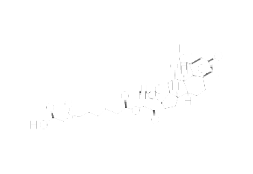 CC1=CC(=O)C=C2CC[C@@H]3[C@H](C(O)C[C@@]4(C)[C@H]3CC[C@]4(O)C(=O)COC(=O)CCCCC[S+]([O-])CC(=O)O)[C@@]12C